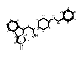 OC(CC1c2ccccc2C2=CNCN21)[C@H]1CC[C@H](OCc2ccccc2)CC1